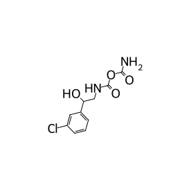 NC(=O)OC(=O)NCC(O)c1cccc(Cl)c1